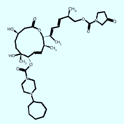 C/C(=C\C=C\[C@@H](C)COC(=O)N1CCC(=O)C1)[C@H]1OC(=O)C[C@H](O)CC[C@@](C)(O)[C@@H](OC(=O)N2CCN(C3CCCCCC3)CC2)/C=C/[C@@H]1C